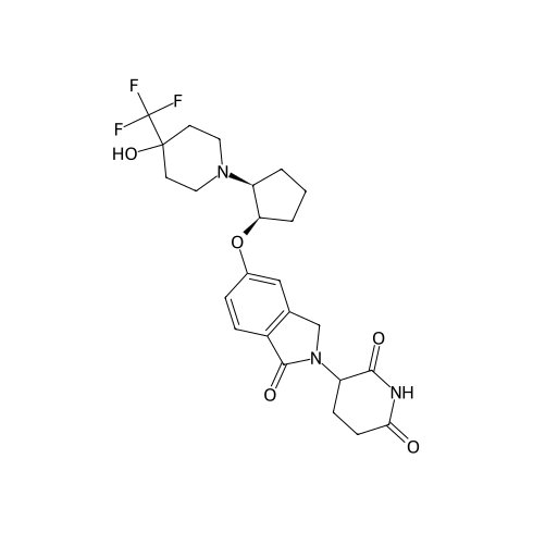 O=C1CCC(N2Cc3cc(O[C@@H]4CCC[C@@H]4N4CCC(O)(C(F)(F)F)CC4)ccc3C2=O)C(=O)N1